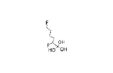 OC(O)(O)C(F)CCCCF